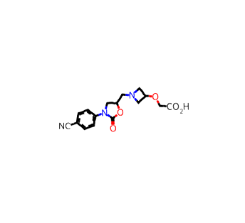 N#Cc1ccc(N2CC(CN3CC(OCC(=O)O)C3)OC2=O)cc1